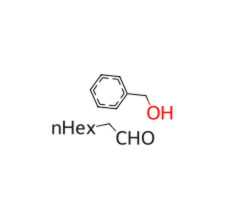 CCCCCCCC=O.OCc1ccccc1